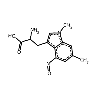 Cc1cc(N=O)c2c(CC(N)C(=O)O)cn(C)c2c1